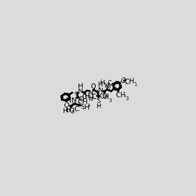 COc1cc(C)c(C[C@H](N)C(=O)N[C@@H](C(=O)NCC(=O)N[C@@H](Cc2ccccc2)C(=O)N[C@@H](C(=O)O)C(C)(C)S)C(C)(C)S)c(C)c1